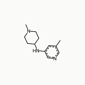 Cc1cncc(NC2CCN(C)CC2)c1